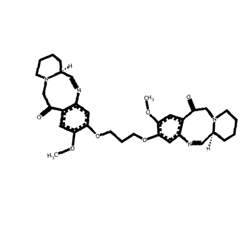 COc1cc2c(cc1OCCCOc1cc3c(cc1OC)C(=O)CN1CCCC[C@H]1/C=N\3)/N=C\[C@@H]1CCCCN1CC2=O